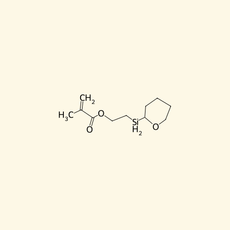 C=C(C)C(=O)OCC[SiH2]C1CCCCO1